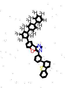 [2H]c1c([2H])c([2H])c(-c2c([2H])c([2H])c(-c3c([2H])c([2H])c([2H])c(-c4ccc5oc6c(-c7cccc(-c8cccc9c8sc8ccccc89)c7)ncnc6c5c4)c3[2H])c([2H])c2[2H])c([2H])c1[2H]